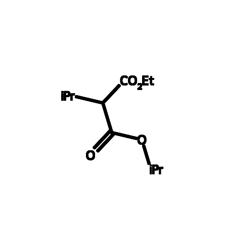 CCOC(=O)C(C(=O)OC(C)C)C(C)C